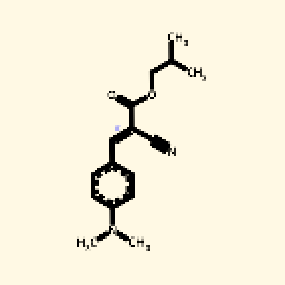 CC(C)COC(=O)/C(C#N)=C/c1ccc(N(C)C)cc1